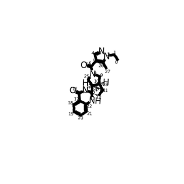 CCn1ncc(C(=O)N2C[C@H]3CC[C@]4(NC(=O)c5ccccc5N4)[C@H]3C2)c1C